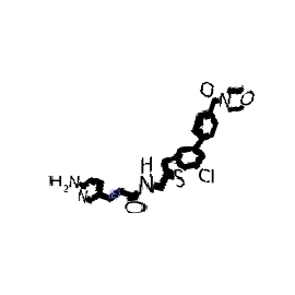 Nc1ccc(/C=C/C(=O)NCc2cc3cc(-c4ccc(C(=O)N5CCOCC5)cc4)cc(Cl)c3s2)cn1